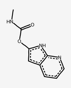 CNC(=O)Oc1cc2cccnc2[nH]1